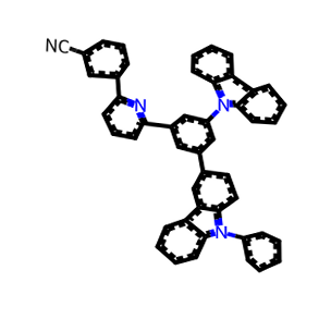 N#Cc1cccc(-c2cccc(-c3cc(-c4ccc5c(c4)c4ccccc4n5-c4ccccc4)cc(-n4c5ccccc5c5ccccc54)c3)n2)c1